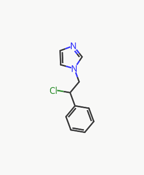 ClC(Cn1ccnc1)c1ccccc1